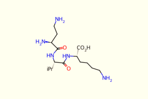 CC(C)[C@H](NC(=O)[C@@H](N)CCN)C(=O)N[C@@H](CCCCN)C(=O)O